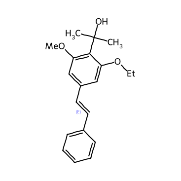 CCOc1cc(/C=C/c2ccccc2)cc(OC)c1C(C)(C)O